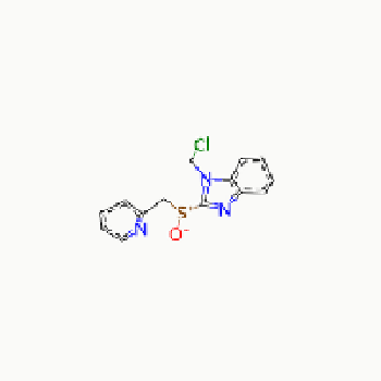 [O-][S+](Cc1ccccn1)c1nc2ccccc2n1CCl